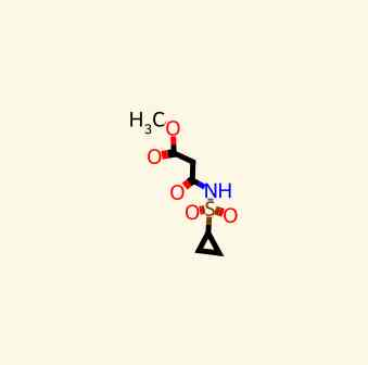 COC(=O)CC(=O)NS(=O)(=O)C1CC1